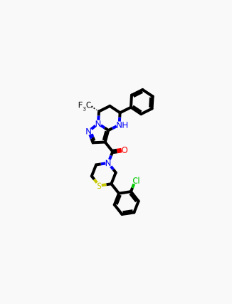 O=C(c1cnn2c1NC(c1ccccc1)C[C@H]2C(F)(F)F)N1CCSC(c2ccccc2Cl)C1